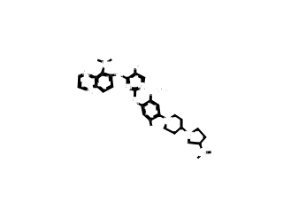 COc1cc(N2CCC(N3CCC(N(C)C)C3)CC2)c(C)cc1Nc1ncc(Br)c(Nc2ccc3nccnc3c2P(C)C)n1